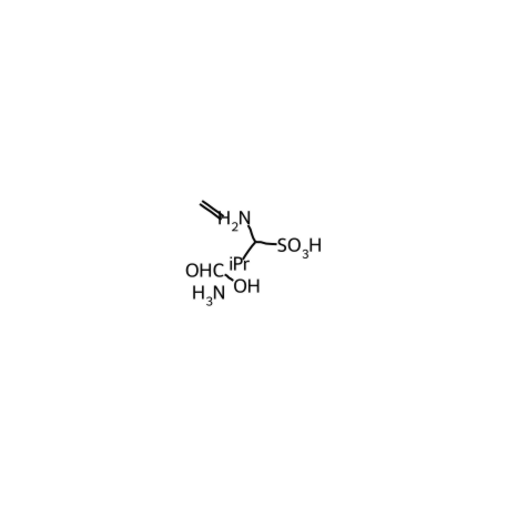 C=C.CC(C)C(N)S(=O)(=O)O.N.O=CO